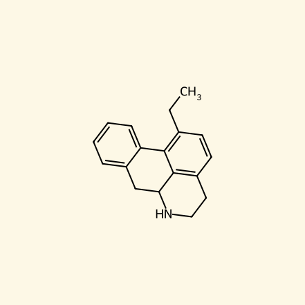 CCc1ccc2c3c1-c1ccccc1CC3NCC2